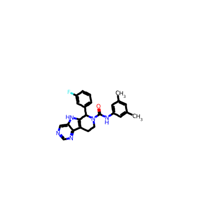 Cc1cc(C)cc(NC(=O)N2CCc3c([nH]c4cncnc34)C2c2cccc(F)c2)c1